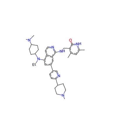 CCN(c1cc(-c2ccc(C3CCN(C)CC3)nc2)cc2c(NCc3c(C)cc(C)[nH]c3=O)nccc12)C1CCC(N(C)C)CC1